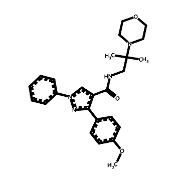 COc1ccc(-c2nn(-c3ccccc3)cc2C(=O)NCC(C)(C)N2CCOCC2)cc1